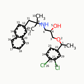 CC(OC[C@H](O)CNC(C)(C)Cc1ccc2ccccc2c1)c1ccc(Cl)c(Cl)c1